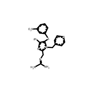 CC(C)c1nc(CN=C(N)N)n(Cc2ccncc2)c1Sc1cccc([N+](=O)[O-])c1